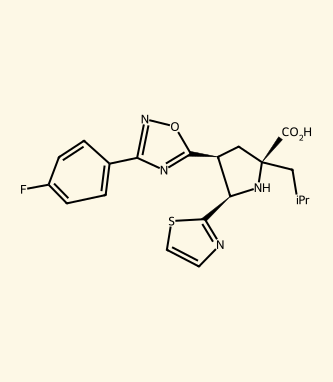 CC(C)C[C@@]1(C(=O)O)C[C@H](c2nc(-c3ccc(F)cc3)no2)[C@H](c2nccs2)N1